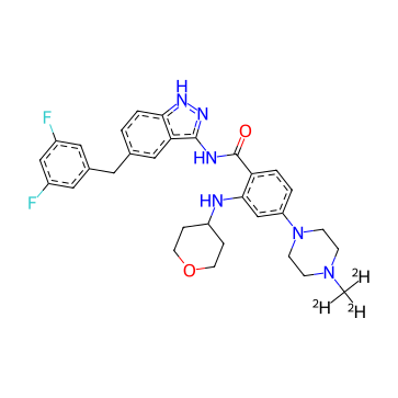 [2H]C([2H])([2H])N1CCN(c2ccc(C(=O)Nc3n[nH]c4ccc(Cc5cc(F)cc(F)c5)cc34)c(NC3CCOCC3)c2)CC1